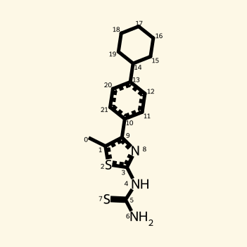 Cc1sc(NC(N)=S)nc1-c1ccc(C2CCCCC2)cc1